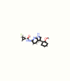 COc1ccccc1-c1c[nH]c2nc(NC(=O)[C@@H]3C[C@@H]3F)ccc12